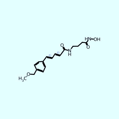 COCc1ccc(/C=C/C=C/C(=O)NCCCC(=O)NO)cc1